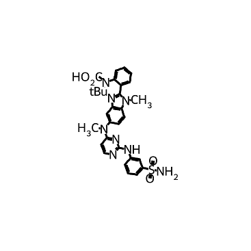 CN(c1ccc2c(c1)nc(-c1ccccc1N(C(=O)O)C(C)(C)C)n2C)c1ccnc(Nc2cccc(S(N)(=O)=O)c2)n1